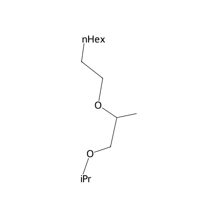 [CH2]C(C)OCC(C)OCCCCCCCC